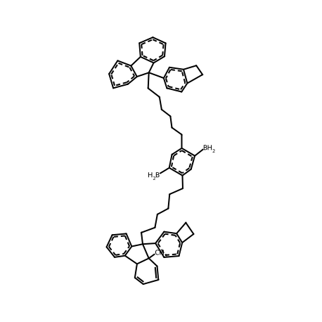 Bc1cc(CCCCCCC2(c3ccc4c(c3)CC4)c3ccccc3C3C=CC=CC32C)c(B)cc1CCCCCCC1(c2ccc3c(c2)CC3)c2ccccc2-c2ccccc21